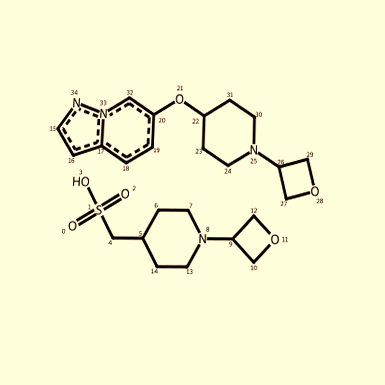 O=S(=O)(O)CC1CCN(C2COC2)CC1.c1cc2ccc(OC3CCN(C4COC4)CC3)cn2n1